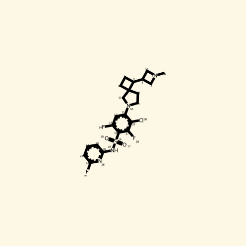 CN1CC(C2CCC23CCN(c2cc(F)c(S(=O)(=O)Nc4cccc(F)n4)c(F)c2Cl)C3)C1